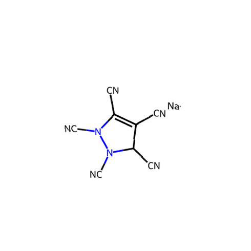 N#CC1=C(C#N)N(C#N)N(C#N)C1C#N.[Na]